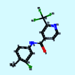 Cc1ccc(NC(=O)c2ccnc(C(F)(F)F)c2)cc1Br